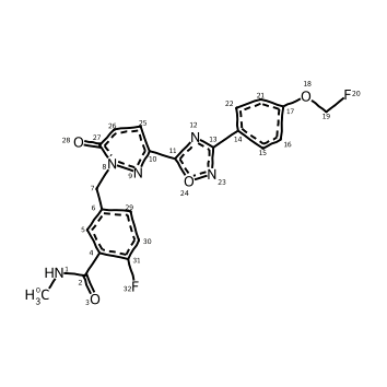 CNC(=O)c1cc(Cn2nc(-c3nc(-c4ccc(OCF)cc4)no3)ccc2=O)ccc1F